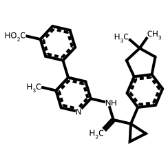 C=C(Nc1cc(-c2cccc(C(=O)O)c2)c(C)cn1)C1(c2ccc3c(c2)CC(C)(C)C3)CC1